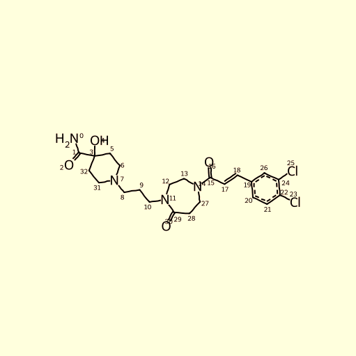 NC(=O)C1(O)CCN(CCCN2CCN(C(=O)C=Cc3ccc(Cl)c(Cl)c3)CCC2=O)CC1